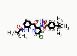 CC(C)C(=O)Nc1cccc(C(=O)c2ncc(Cl)cc2NS(=O)(=O)c2ccc(C(C)(C)C)cc2)c1